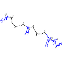 N=NNCCCNCCCN